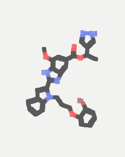 COc1cc(C(=O)OC(C)c2cn[nH]c2)cc2nc(-c3cc4ccccc4n3CCCOc3ccccc3Br)[nH]c12